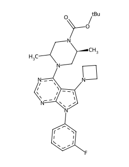 CC1CN(C(=O)OC(C)(C)C)[C@@H](C)CN1c1ncnc2c1c(N1CCC1)cn2-c1cccc(F)c1